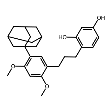 COc1cc(OC)c(C23CC4CC(CC(C4)C2)C3)cc1CCCc1ccc(O)cc1O